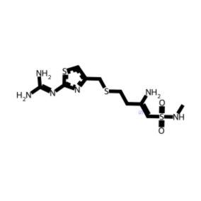 CNS(=O)(=O)/C=C(\N)CCSCc1csc(N=C(N)N)n1